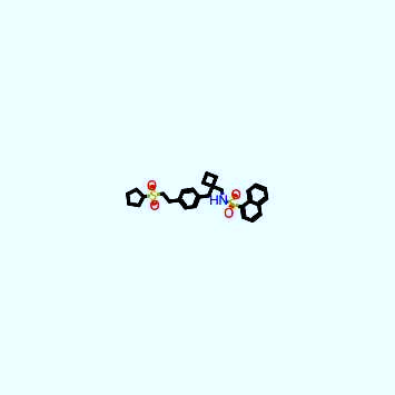 O=S(=O)(NCC1(Cc2ccc(CCS(=O)(=O)C3CCCC3)cc2)CCC1)c1cccc2ccccc12